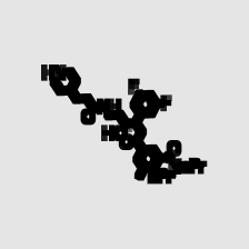 CCCN(CCC)C(=O)c1cc(C)cc(C(=O)CC(c2cc(F)cc(F)c2)[C@@H](O)CCNC(=O)CCC2CCNCC2)c1